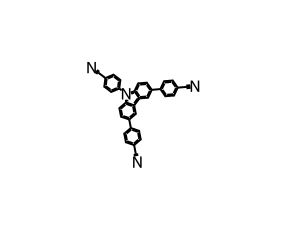 N#Cc1ccc(-c2ccc3c(c2)c2cc(-c4ccc(C#N)cc4)ccc2n3-c2ccc(C#N)cc2)cc1